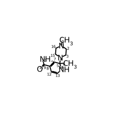 CN1CCN(C2(C)C=C(C(N)=O)C=CN2)CC1